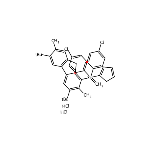 Cl.Cl.[CH2]=[Zr]([C]1=CC=CC1)([c]1ccc(Cl)cc1)([c]1ccc(Cl)cc1)[c]1c(C)c(C(C)(C)C)cc2c1Cc1cc(C)c(C(C)(C)C)cc1-2